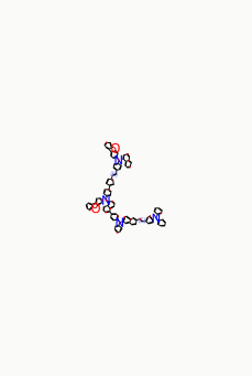 C(=C\c1ccc(N(c2ccc3c(c2)oc2ccccc23)c2cccc3ccccc23)cc1)/c1ccc(-c2ccc(N(c3ccc4c(c3)oc3ccccc34)c3cccc4c(-c5ccc(N(c6ccccc6)c6ccc7cc(/C=C/c8ccc(N(c9ccccc9)c9ccccc9)cc8)ccc7c6)cc5)cccc34)cc2)cc1